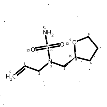 C=CCN(C[C@@H]1CCCO1)S(N)(=O)=O